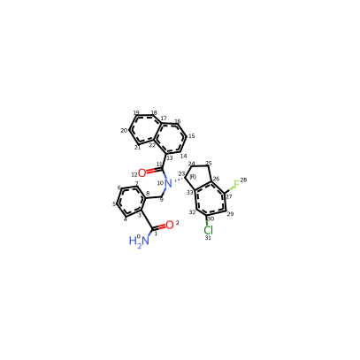 NC(=O)c1ccccc1CN(C(=O)c1cccc2ccccc12)[C@@H]1CCc2c(F)cc(Cl)cc21